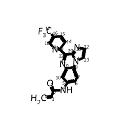 C=CC(=O)Nc1ccc2c(c1)nc(-c1ccc(C(F)(F)F)cn1)c1nccn12